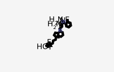 CC12CCC/C(=C\CN(N)/C(=N\N)c3ccccc3F)C1CCC2CCCC(F)(F)C(C)(C)O